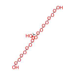 C=C(C)C(=O)O.OCCOCCOCCOCCOCCOCCOCCOCCOCCOCCOCCOCCOCCOCCOCCOCCO